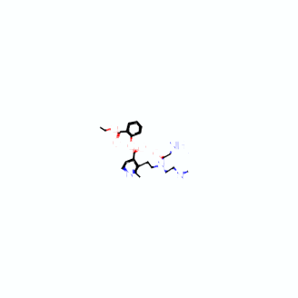 CCOC(=O)c1ccccc1OC(=O)c1ccnc(C)c1CCN(CCN(C)C)C(=O)CN